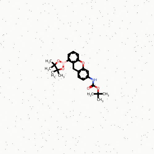 CC(C)(C)OC(=O)Nc1ccc2c(c1)Oc1cccc(B3OC(C)(C)C(C)(C)O3)c1C2